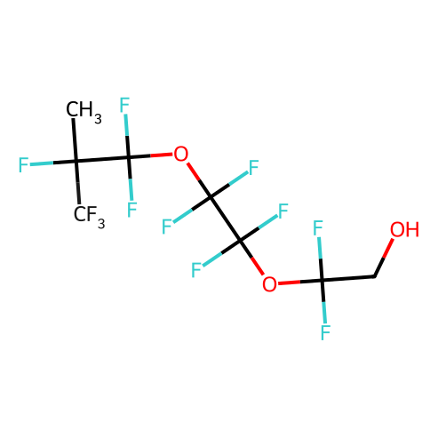 CC(F)(C(F)(F)F)C(F)(F)OC(F)(F)C(F)(F)OC(F)(F)CO